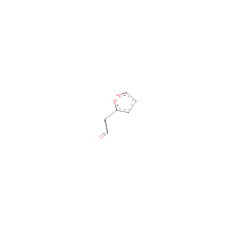 C[C@@H](C=O)c1ccco1